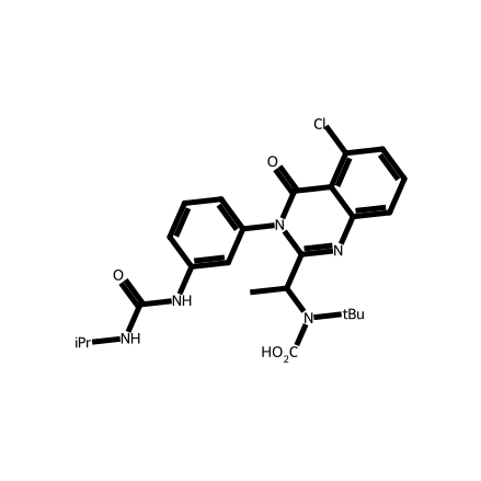 CC(C)NC(=O)Nc1cccc(-n2c(C(C)N(C(=O)O)C(C)(C)C)nc3cccc(Cl)c3c2=O)c1